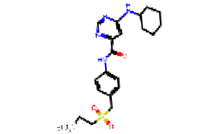 CCOC(=O)CCS(=O)(=O)Cc1ccc(NC(=O)c2cc(NC3CCCCC3)ncn2)cc1